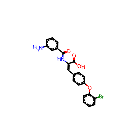 Nc1cccc(C(=O)NC(=Cc2ccc(Oc3ccccc3Br)cc2)C(=O)O)c1